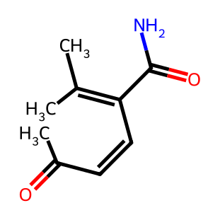 CC(=O)/C=C\C(C(N)=O)=C(C)C